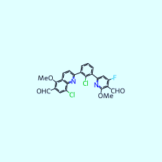 COc1nc(-c2cccc(-c3ccc4c(OC)c(C=O)cc(Cl)c4n3)c2Cl)cc(F)c1C=O